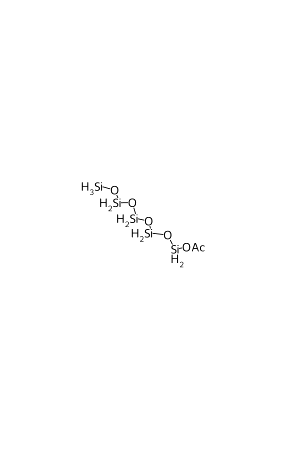 CC(=O)O[SiH2]O[SiH2]O[SiH2]O[SiH2]O[SiH3]